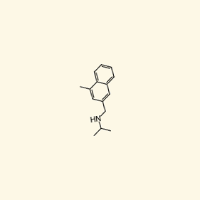 Cc1cc(CNC(C)C)cc2ccccc12